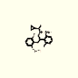 CON(CC(Cc1c(F)cccc1F)c1c(C)cccc1C)C(C)C1CC1.Cl